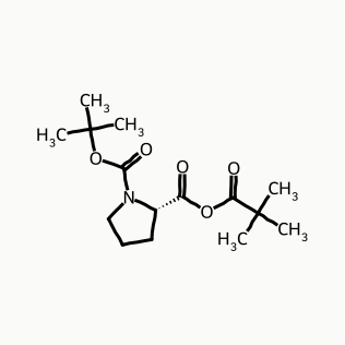 CC(C)(C)OC(=O)N1CCC[C@H]1C(=O)OC(=O)C(C)(C)C